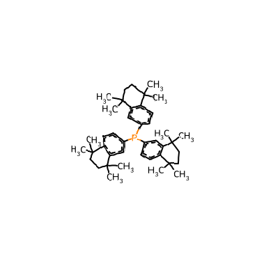 CC1(C)CCC(C)(C)c2cc(P(c3ccc4c(c3)C(C)(C)CCC4(C)C)c3ccc4c(c3)C(C)(C)CCC4(C)C)ccc21